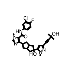 Cn1cnc(C2CC3CC(O)(c4cc(C#CC(C)(C)O)nn4C)CC3C2)c1C(=O)Nc1ccc(F)c(Cl)c1